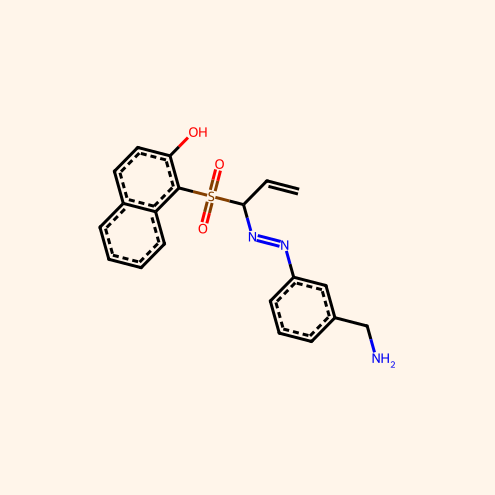 C=CC(N=Nc1cccc(CN)c1)S(=O)(=O)c1c(O)ccc2ccccc12